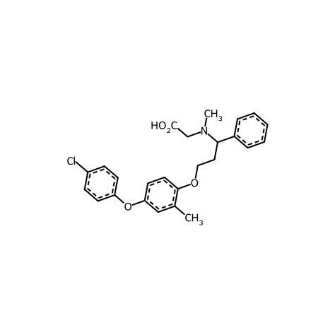 Cc1cc(Oc2ccc(Cl)cc2)ccc1OCCC(c1ccccc1)N(C)CC(=O)O